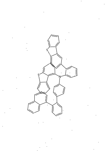 c1ccc(-c2cccc3ccccc23)c(-c2ccc(N(c3ccccc3-c3ccc4sc5ccccc5c4c3)c3cccc4sc5ccccc5c34)cc2)c1